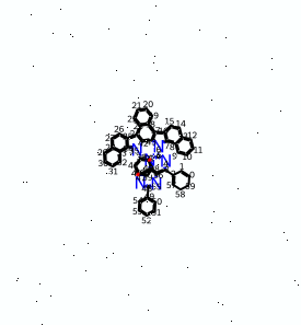 C1=CC(c2nc(-n3c4c5ccccc5ccc4c4c5ccccc5c5c6ccc7ccccc7c6n(-c6ccccc6)c5c43)nc3cnc(-c4ccccc4)nc23)=CCC1